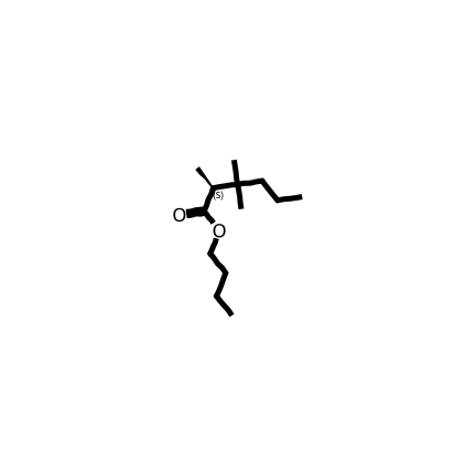 CCCCOC(=O)[C@@H](C)C(C)(C)CCC